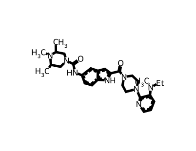 CCN(C)c1cccnc1N1CCN(C(=O)c2cc3cc(NC(=O)N4CC(C)N(C)C(C)C4)ccc3[nH]2)CC1